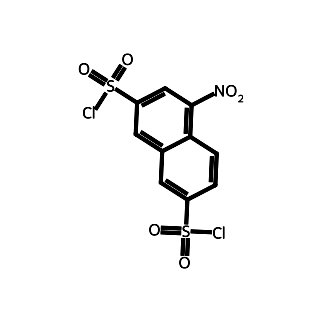 O=[N+]([O-])c1cc(S(=O)(=O)Cl)cc2cc(S(=O)(=O)Cl)ccc12